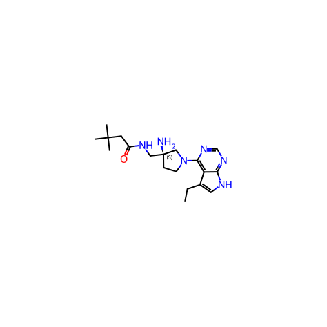 CCc1c[nH]c2ncnc(N3CC[C@](N)(CNC(=O)CC(C)(C)C)C3)c12